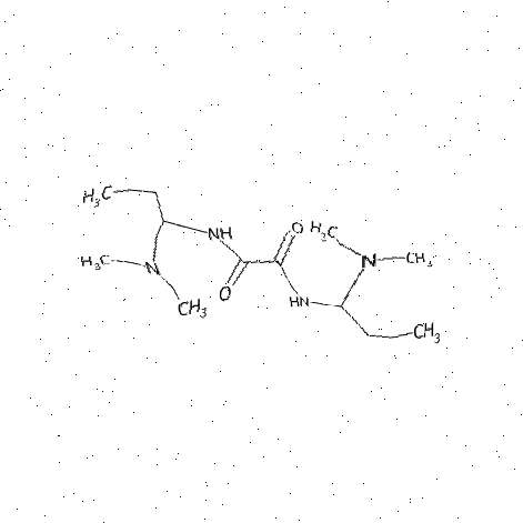 CCC(NC(=O)C(=O)NC(CC)N(C)C)N(C)C